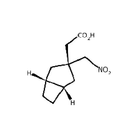 O=C(O)C[C@]1(C[N+](=O)[O-])C[C@H]2CC[C@H]2C1